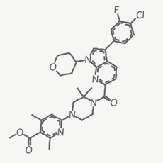 COC(=O)c1c(C)cc(N2CCN(C(=O)c3ccc4c(-c5ccc(Cl)c(F)c5)cn(C5CCOCC5)c4n3)C(C)(C)C2)nc1C